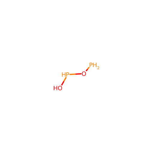 OPOP